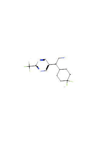 NCC(c1cnc(C(F)(F)F)nc1)C1CCC(F)(F)CC1